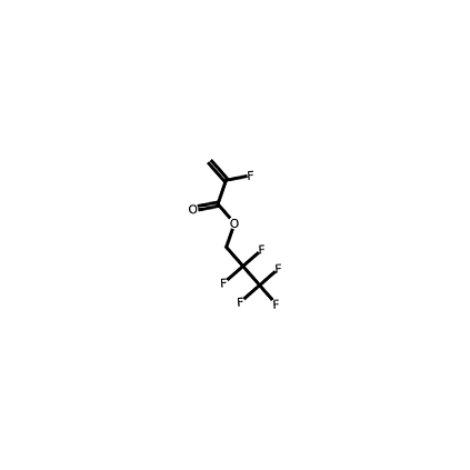 C=C(F)C(=O)OCC(F)(F)C(F)(F)F